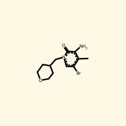 Cc1c(Br)cn(CC2CCOCC2)c(=O)c1N